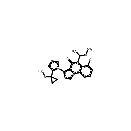 COC(C)n1c(=O)c2c(-n3nncc3C3(OC)CC3)ncn2c2cccc(Cl)c21